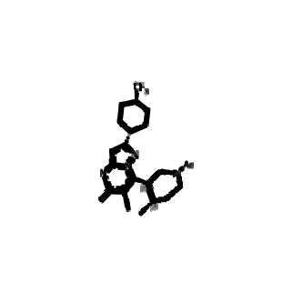 CC(=O)N1CC[C@@H](C)[C@@H](c2c(C)c(C)nc3cc([C@H]4CC[C@H](C(F)(F)F)CC4)nn23)C1